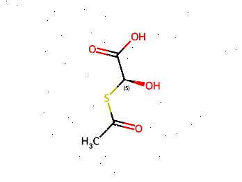 CC(=O)S[C@H](O)C(=O)O